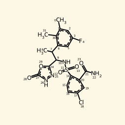 Cc1cc(F)cc(C(C)C(NS(=O)(=O)c2ccc(Cl)cc2C(N)=O)c2n[nH]c(=O)o2)c1C